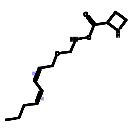 CCC/C=C\C=C/COCNOC(=O)C1CCN1